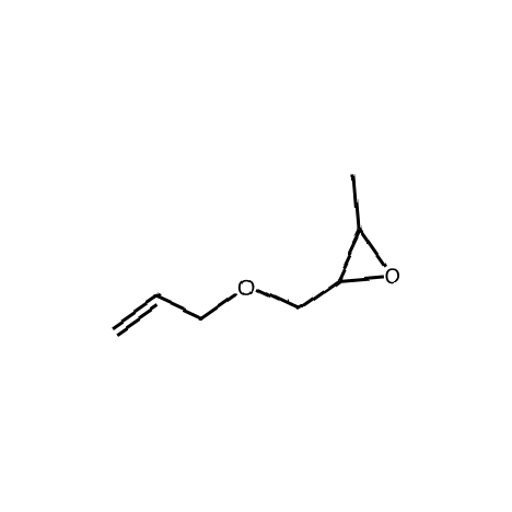 C=CCOCC1OC1C